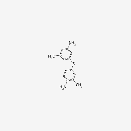 Cc1cc(N)cc(Sc2ccc(N)c(C)c2)c1